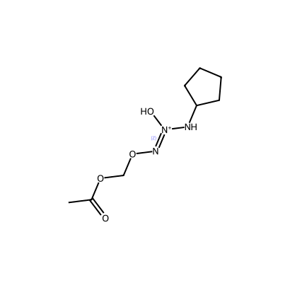 CC(=O)OCO/N=[N+](\O)NC1CCCC1